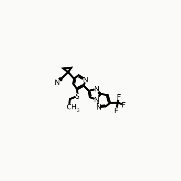 CCSc1cc(C2(C#N)CC2)cnc1-c1cn2ncc(C(F)(F)F)cc2n1